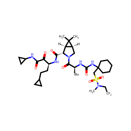 CN(CC(F)(F)F)S(=O)(=O)CC1(NC(=O)N[C@H](C(=O)N2C[C@H]3[C@@H]([C@H]2C(=O)N[C@@H](CCC2CC2)C(=O)C(=O)NC2CC2)C3(C)C)C(C)(C)C)CCCCC1